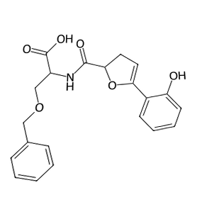 O=C(O)C(COCc1ccccc1)NC(=O)C1CC=C(c2ccccc2O)O1